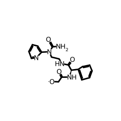 NC(=O)N(CCNC(=O)[C@H](NC(=O)C[O])c1ccccc1)c1ccccn1